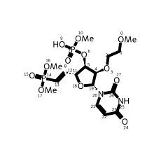 COCCO[C@@H]1[C@H](OP(=O)(O)OC)[C@@H](/C=C/P(=O)(OC)OC)O[C@H]1n1ccc(=O)[nH]c1=O